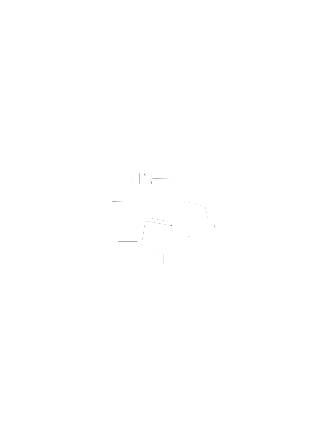 OC1=CC=CC2NCC3COCC3=C12